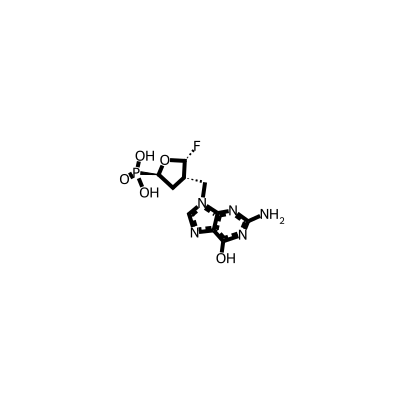 Nc1nc(O)c2ncn(C[C@@H]3C[C@@H](P(=O)(O)O)O[C@@H]3F)c2n1